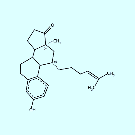 CC(C)=CCCC[C@H]1C[C@]2(C)C(=O)CCC2C2CCc3cc(O)ccc3C21